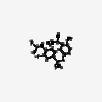 CC(C)c1ccc(CC(C)c2ccc(OC(F)F)c(F)c2)cc1C(N)=O